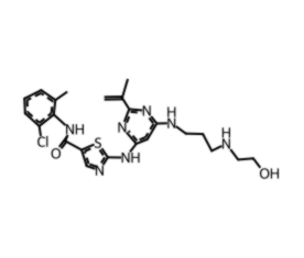 C=C(C)c1nc(NCCCNCCO)cc(Nc2ncc(C(=O)Nc3c(C)cccc3Cl)s2)n1